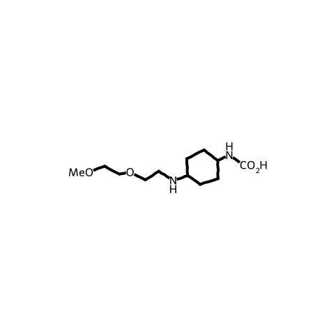 COCCOCCNC1CCC(NC(=O)O)CC1